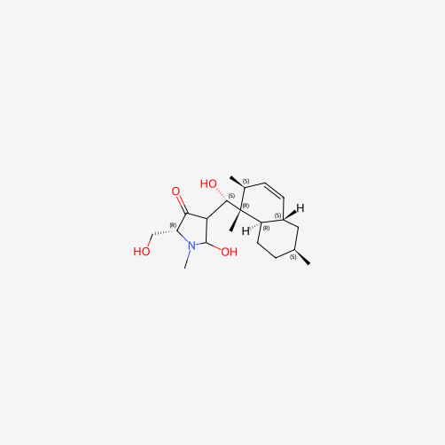 C[C@H]1CC[C@@H]2[C@H](C=C[C@H](C)[C@@]2(C)[C@@H](O)C2C(=O)[C@@H](CO)N(C)C2O)C1